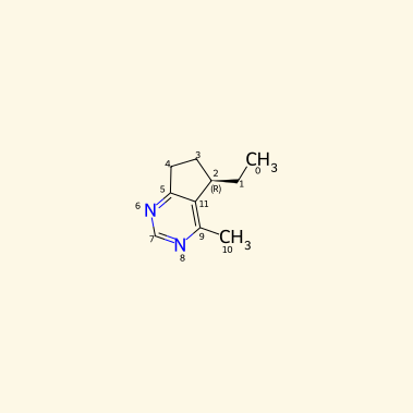 CC[C@@H]1CCc2ncnc(C)c21